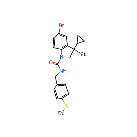 CCSc1ccc(CNC(=O)N2CC(CC)(C3CC3)c3cc(Br)ccc32)cc1